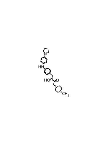 CN1CCN(CC(=O)N(O)Cc2ccc(Nc3ccc(N4CCCC4)cc3)cc2)CC1